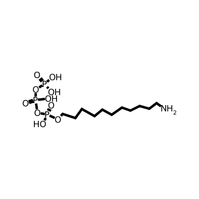 NCCCCCCCCCCCOP(=O)(O)OP(=O)(O)OP(=O)(O)O